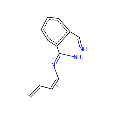 C=C/C=C\N=C(/N)c1ccccc1C=N